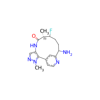 C[C@H]1C(=O)Nc2cnn(C)c2-c2ccnc(c2)C(N)CCC1F